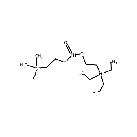 CC[N+](CC)(CC)CCO[PH](=O)OCC[N+](C)(C)C